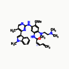 C=C/C=C\C(=O)Nc1cc(Nc2ncc(C)c(-c3cn(C)c4ccccc34)n2)c(OC)cc1N(C)CCN(C)C